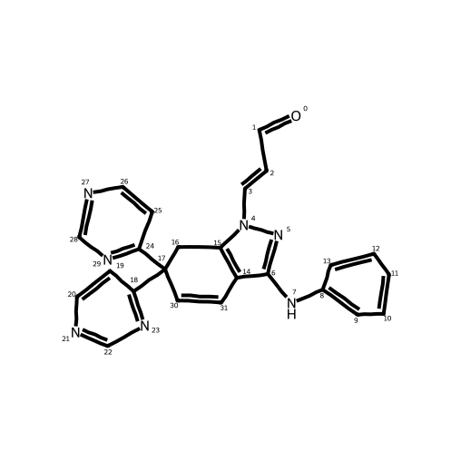 O=CC=Cn1nc(Nc2ccccc2)c2c1CC(c1ccncn1)(c1ccncn1)C=C2